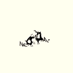 CC(=O)c1cc(I)n(-c2ccc(C#N)cc2)c1C